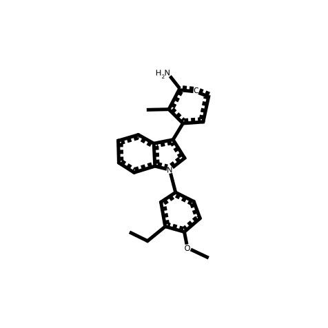 CCc1cc(-n2cc(-c3cccc(N)c3C)c3ccccc32)ccc1OC